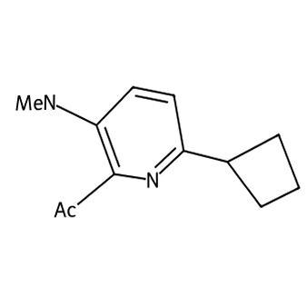 CNc1ccc(C2CCC2)nc1C(C)=O